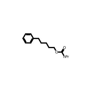 CCCC(=O)OCCCCCc1ccccc1